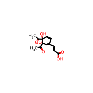 CC(=O)C1(O)C=CC(C=CC(=O)O)=CC1(O)C(C)=O